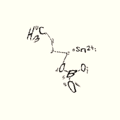 CCCCOB([O-])[O-].[Sn+2]